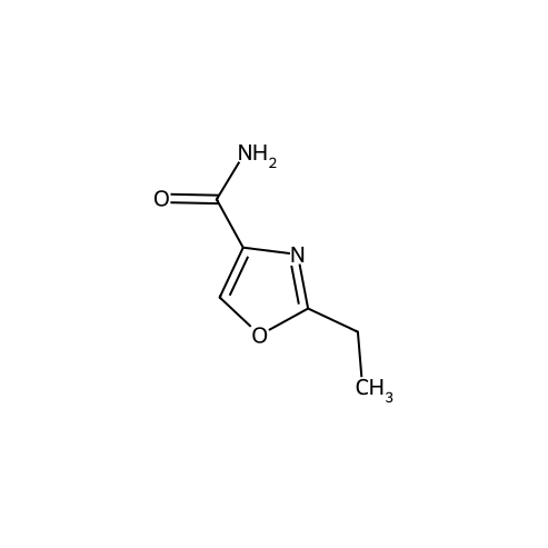 CCc1nc(C(N)=O)co1